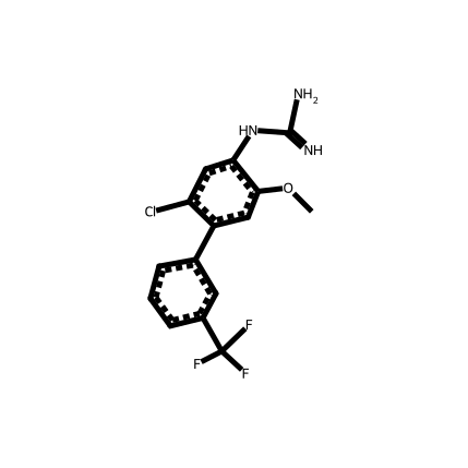 COc1cc(-c2cccc(C(F)(F)F)c2)c(Cl)cc1NC(=N)N